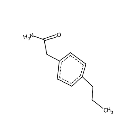 CCCc1ccc(CC(N)=O)cc1